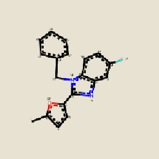 Cc1ccc(-c2nc3cc(F)ccc3n2Cc2ccccc2)o1